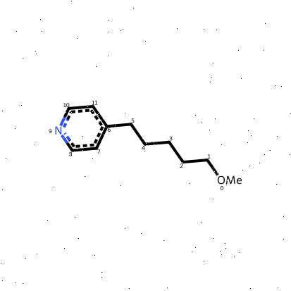 [CH2]OCCCCCc1ccncc1